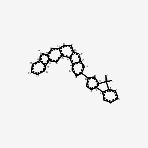 CC1(C)c2ccccc2-c2ccc(-c3ccc4c(c3)sc3ccc5cc6sc7ccccc7c6cc5c34)cc21